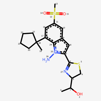 CC(O)C1CSC(c2cc3cc(S(C)(=O)=O)cc(C4(C)CCCC4)c3n2N)=N1